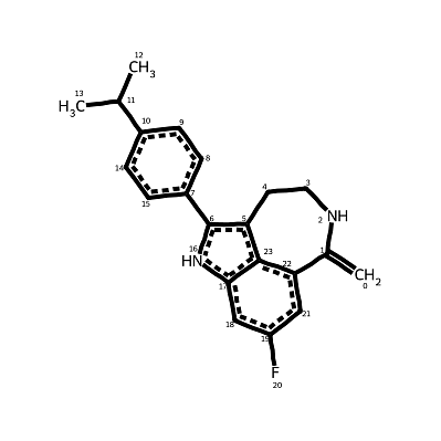 C=C1NCCc2c(-c3ccc(C(C)C)cc3)[nH]c3cc(F)cc1c23